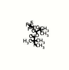 CCC(C)(C)C(=O)OC(OCC(F)(F)F)C(C)(C)C